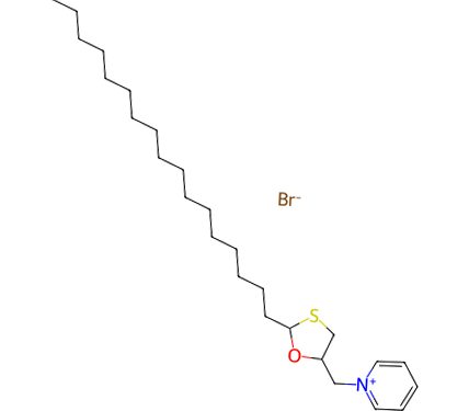 CCCCCCCCCCCCCCCCCC1OC(C[n+]2ccccc2)CS1.[Br-]